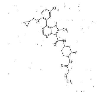 COCC(=O)NC1CCC(NC(=O)c2c(C)[nH]c3c(-c4cc(C)ccc4OCC4CC4)ncnc23)CC1F